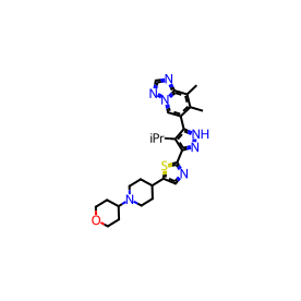 Cc1c(-c2[nH]nc(-c3ncc(C4CCN(C5CCOCC5)CC4)s3)c2C(C)C)cn2ncnc2c1C